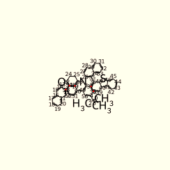 CC(C)(C)c1ccc(N(C2=Cc3c(oc4cc5ccccc5cc34)CC2)c2ccc3ccccc3c2C2=CC=CC3c4ccccc4SC23)c(C2=C=C=CC=C2)c1